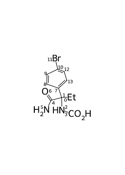 CCC(NC(=O)O)(C(N)=O)c1ccc(Br)cc1